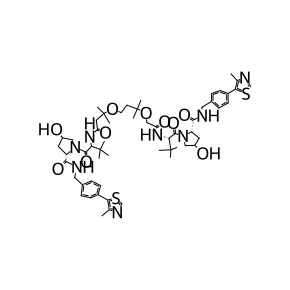 Cc1ncsc1-c1ccc(CNC(=O)[C@@H]2C[C@@H](O)CN2C(=O)C(NC(=O)CC(C)(C)OCCC(C)(C)OCC(=O)N[C@H](C(=O)N2C[C@H](O)C[C@H]2C(=O)NCc2ccc(-c3scnc3C)cc2)C(C)(C)C)C(C)(C)C)cc1